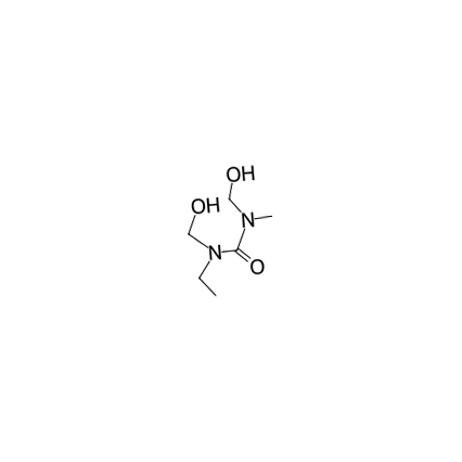 CCN(CO)C(=O)N(C)CO